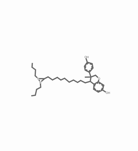 CCCCN1C(CCCCCCCCCCC2c3ccc(O)cc3OCC2(C)c2ccc(O)cc2)N1CCCC